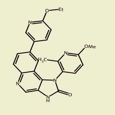 CCOc1ccc(-c2ccc3ncc4[nH]c(=O)n(-c5ccc(OC)nc5C)c4c3c2)cn1